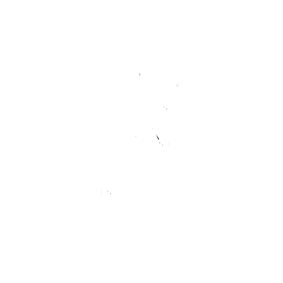 CCCC(CCC)S(=O)(=O)C[C@](N)(C(N)=O)C(=O)c1ccc2cc[nH]c2c1.Cl